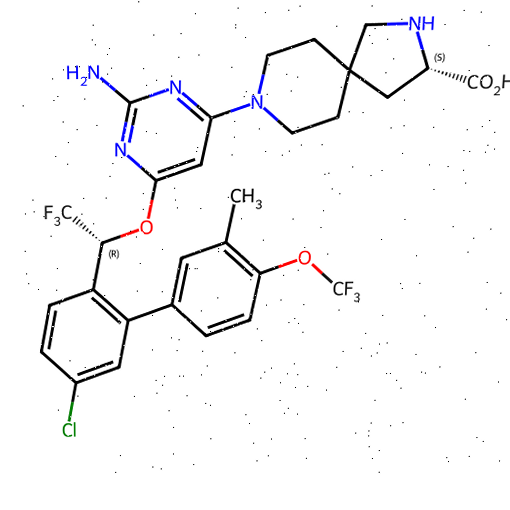 Cc1cc(-c2cc(Cl)ccc2[C@@H](Oc2cc(N3CCC4(CC3)CN[C@H](C(=O)O)C4)nc(N)n2)C(F)(F)F)ccc1OC(F)(F)F